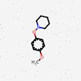 COc1ccc(ON2CC[CH]CC2)cc1